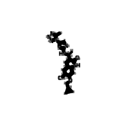 Cc1nnnn1-c1cnc(N[C@@H](C)c2cc3cc(Cl)c(OCC4CC4)cc3[nH]c2=O)s1